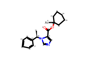 CC(=O)C1(OC(=O)c2cncn2[C@H](C)c2ccccc2)CCCCC1